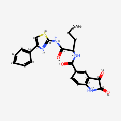 CSCCC(NC(=O)c1ccc2c(c1)C(=O)C(=O)N2)C(=O)Nc1nc(-c2ccccc2)cs1